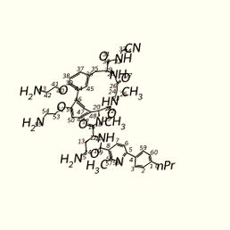 CCCc1ccc(-c2ccc(C(=O)N[C@@H](CCN)C(=O)N(C)[C@@H]3C(=O)N[C@@H](C)C(=O)N[C@H](C(=O)NCC#N)Cc4ccc(OCCN)c(c4)-c4cc3ccc4OCCN)c(C)n2)cc1